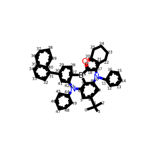 CC(C)(C)c1cc2c3c(c1)N(c1ccccc1)c1c(oc4c1CCCC4)B3c1ccc(-c3cccc4ccccc34)cc1N2c1ccccc1